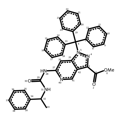 COC(=O)c1nn(C(c2ccccc2)(c2ccccc2)c2ccccc2)c2cc(NC(=O)NC(C)c3ccccc3)ncc12